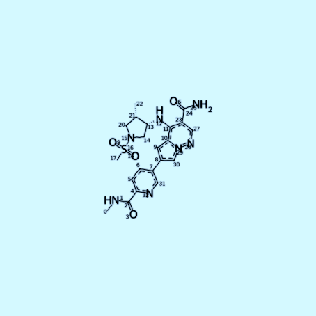 CNC(=O)c1ccc(-c2cc3c(N[C@@H]4CN(S(C)(=O)=O)C[C@@H]4C)c(C(N)=O)cnn3c2)cn1